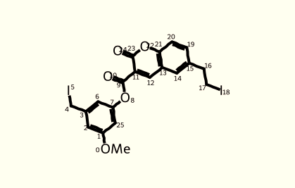 COc1cc(CI)cc(OC(=O)c2cc3cc(CCI)ccc3oc2=O)c1